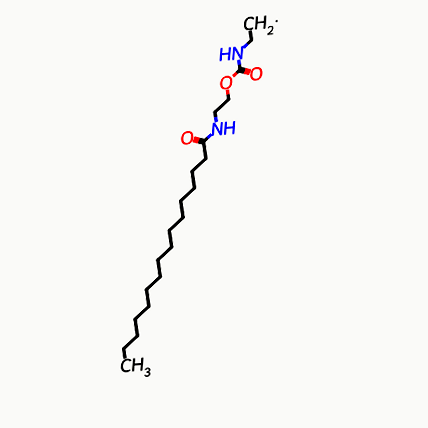 [CH2]CNC(=O)OCCNC(=O)CCCCCCCCCCCCCCC